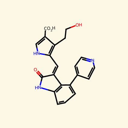 O=C1Nc2cccc(-c3ccncc3)c2C1=Cc1[nH]cc(C(=O)O)c1CCO